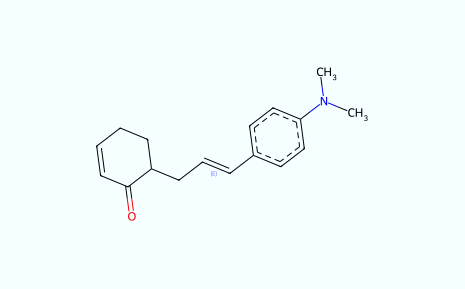 CN(C)c1ccc(/C=C/CC2CCC=CC2=O)cc1